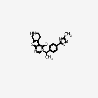 Cc1nc(-c2ccc(C(C)n3cnc4sc5c(c4c3=O)CCNC5)cc2)no1